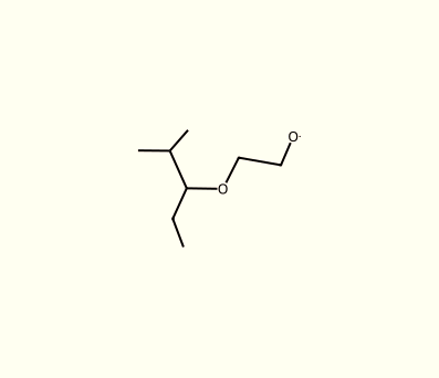 CCC(OCC[O])C(C)C